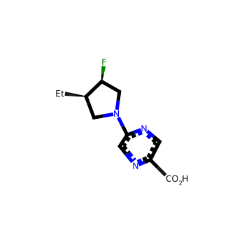 CC[C@@H]1CN(c2cnc(C(=O)O)cn2)C[C@@H]1F